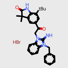 Br.CC(C)(C)c1cc(C(=O)Cn2c(=N)n(Cc3ccccc3)c3ccccc32)cc2c1NC(=O)C2(C)C